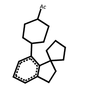 CC(=O)C1CCC(c2cccc3c2C2(CCCC2)CC3)CC1